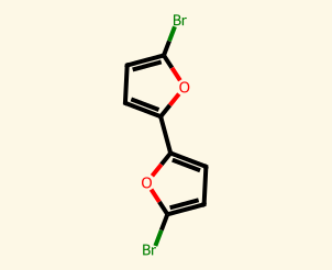 Brc1ccc(-c2ccc(Br)o2)o1